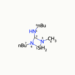 CCCCNC1N(C)[SiH2]N1CCCC